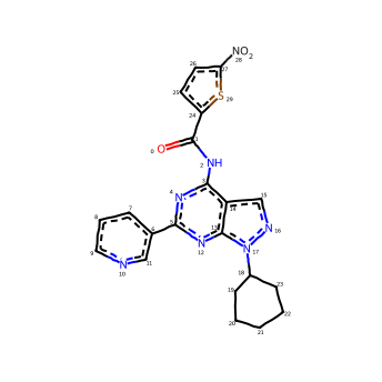 O=C(Nc1nc(-c2cccnc2)nc2c1cnn2C1CCCCC1)c1ccc([N+](=O)[O-])s1